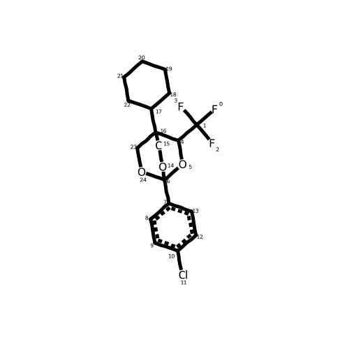 FC(F)(F)C1OC2(c3ccc(Cl)cc3)OCC1(C1CCCCC1)CO2